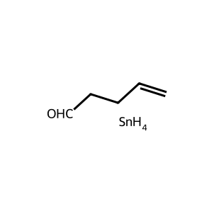 C=CCCC=O.[SnH4]